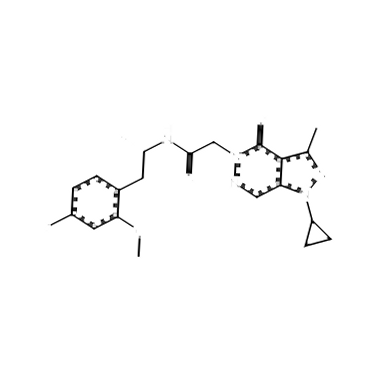 COc1cc(Cl)ccc1C[C@H](C)NC(=O)Cn1ncc2c(c(C)nn2C2CC2)c1=O